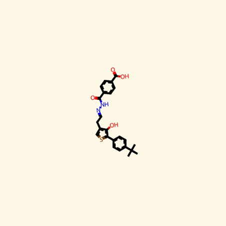 CC(C)(C)c1ccc(-c2scc(CC=NNC(=O)c3ccc(C(=O)O)cc3)c2O)cc1